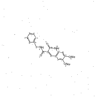 COc1cc2cc(C(=O)NCc3ccccc3)c(=O)[nH]c2cc1OC